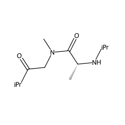 CC(C)N[C@H](C)C(=O)N(C)CC(=O)C(C)C